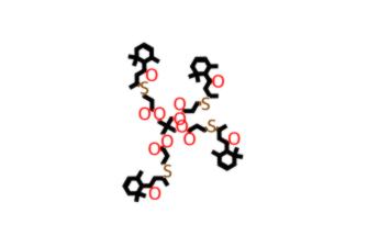 CC(CC(=O)C1C(C)C=CCC1(C)C)SCCC(=O)OCC(COC(=O)CCSC(C)CC(=O)C1C(C)C=CCC1(C)C)(COC(=O)CCSC(C)CC(=O)C1C(C)C=CCC1(C)C)COC(=O)CCSC(C)CC(=O)C1C(C)C=CCC1(C)C